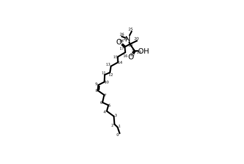 CCCCCCCC/C=C\CCCCCCCC(=O)C(C)(C(=O)O)N(C)C